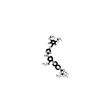 COc1cc(Nc2ncc(OCc3c(F)c(OC)cc(OC)c3F)cn2)ccc1N1CCC2(CCN(C(=O)OC(C)(C)C)CC2)CC1